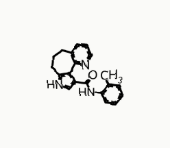 Cc1ccccc1NC(=O)c1c[nH]c2c1-c1ncccc1CCC2